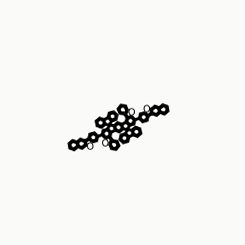 c1ccc2c(c1)-c1ccccc1C21c2cc3c(cc2-c2c1cc(-c1ccc4c(c1)oc1cc5ccccc5cc14)c1oc4ccccc4c21)C1(c2ccccc2-c2ccccc21)c1cc(-c2ccc4c(c2)oc2cc5ccccc5cc24)c2oc4ccccc4c2c1-3